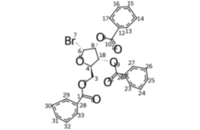 O=C(OC[C@H]1O[C@H](Br)[C@H](OC(=O)c2ccccc2)[C@@H]1OC(=O)c1ccccc1)c1ccccc1